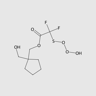 O=C(OCC1(CO)CCCC1)C(F)(F)SOOO